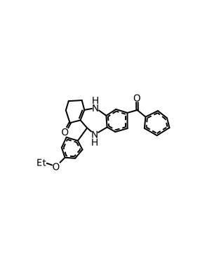 CCOc1ccc(C2Nc3ccc(C(=O)c4ccccc4)cc3NC3=C2C(=O)CCC3)cc1